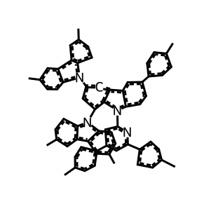 Cc1ccc(-c2cc(-c3ccc(C)cc3)nc(-n3c4ccc(-c5ccc(C)cc5)cc4c4cc(-n5c6ccc(C)cc6c6cc(C)ccc65)cc(-n5c6ccc(C)cc6c6cc(C)ccc65)c43)c2)cc1